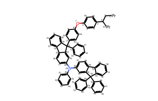 CC(C)CC(c1ccc(Oc2ccc(C3(c4ccccc4)c4ccccc4-c4ccc(N(c5ccccc5)c5ccc6c(c5)C(c5ccccc5)(c5ccccc5)c5ccccc5-6)cc43)cc2)cc1)C(C)C